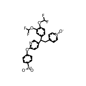 O=[N+]([O-])c1ccc(Oc2ccc(C(Cc3cc[n+]([O-])cc3)c3ccc(OC(F)F)c(OC(F)F)c3)cn2)cc1